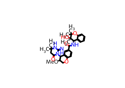 COC1COc2ccc(C(=O)N[C@@H]3c4ccccc4OC(C)(C)[C@@]3(C)O)cc2C1N1C(=N)NC(C)(C)CC1=O